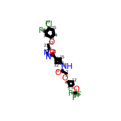 O=C(COC1CC(OC(F)(F)F)C1)NC12CC(c3nnc(COc4ccc(Cl)c(F)c4)o3)(C1)C2